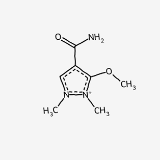 COc1c(C(N)=O)cn(C)[n+]1C